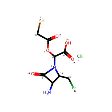 Cl.NC1C(=O)N(C(OC(=O)CS)C(=O)O)C1CBr